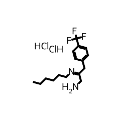 CCCCCCN=C(CN)Cc1ccc(C(F)(F)F)cc1.Cl.Cl